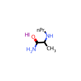 CCCNC(C)C(N)=O.I